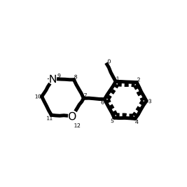 Cc1ccccc1C1C[N]CCO1